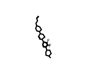 C=CCCC1CCC(C2C=CC(c3ccc(C4CCC(C)CC4)c(F)c3F)CC2)CC1